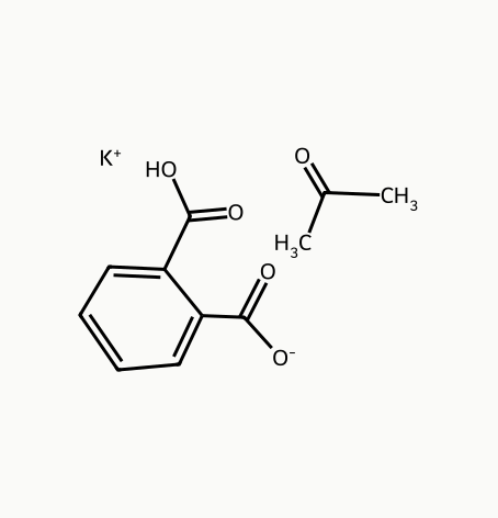 CC(C)=O.O=C([O-])c1ccccc1C(=O)O.[K+]